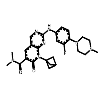 CN1CCN(c2ccc(Nc3ncc4cc(C(=O)N(C)C)c(=O)n(C56CC(C5)C6)c4n3)cc2F)CC1